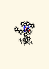 CC1(C)c2cccc(-c3cccc(-c4ccc(-n5c6ccccc6c6ccc7c8ccccc8n(-c8nc(-c9ccccc9)nc(-c9cccc(-c%10ccccc%10)c9)n8)c7c65)cc4)c3)c2C(C)(C)C1(C)C